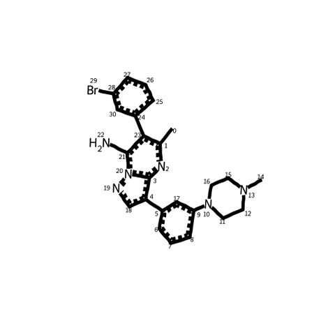 Cc1nc2c(-c3cccc(N4CCN(C)CC4)c3)cnn2c(N)c1-c1cccc(Br)c1